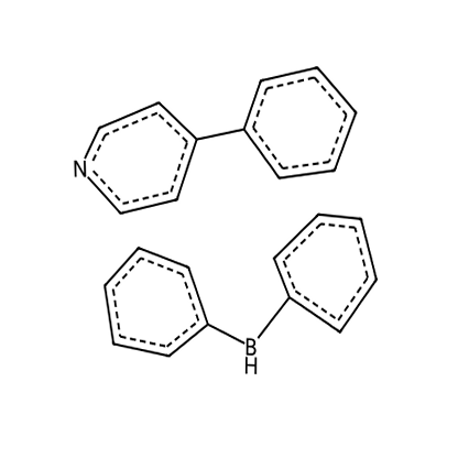 B(c1ccccc1)c1ccccc1.c1ccc(-c2ccncc2)cc1